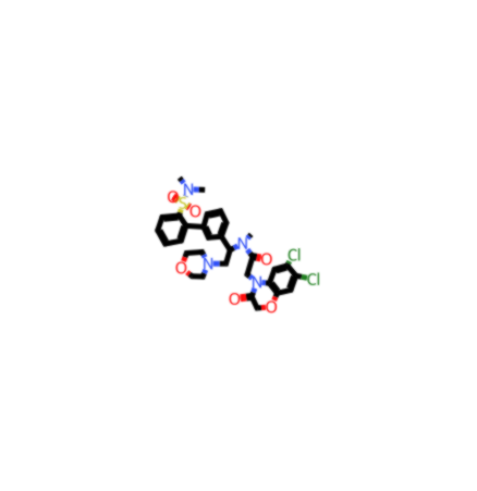 CN(C(=O)CN1C(=O)COc2cc(Cl)c(Cl)cc21)C(CN1CCOCC1)c1cccc(-c2ccccc2S(=O)(=O)N(C)C)c1